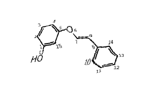 Oc1cccc(OC=Cc2ccccc2)c1